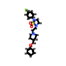 O=S1(=O)N(CCN2CCC(COc3ccccc3)CC2)CCN1c1ccc(F)cc1